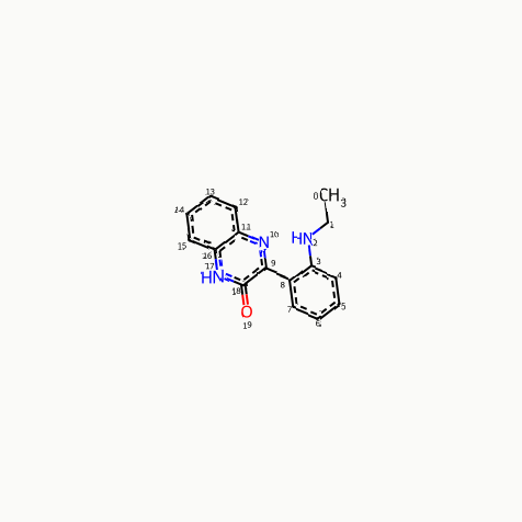 CCNc1ccccc1-c1nc2ccccc2[nH]c1=O